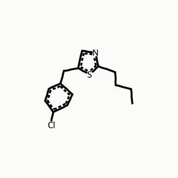 CCCCc1ncc(Cc2ccc(Cl)cc2)s1